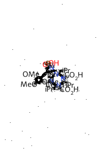 COc1cc(OC)c(C#Cc2cc(CN3C[C@H](CC(C)C)N(CC(=O)O)C[C@H](CC(C)C)N(CC(=O)O)C[C@H](CC(C)C)N(CC(=O)O)C[C@@H]3CC(C)C)nc(P(C)(=O)O)c2)c(OC)c1